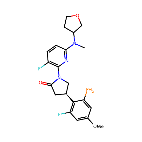 COc1cc(F)c([C@H]2CC(=O)N(c3nc(N(C)C4CCOC4)ccc3F)C2)c(P)c1